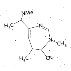 CNC(C)C1=CC(C)C(C#N)N(C)C=N1